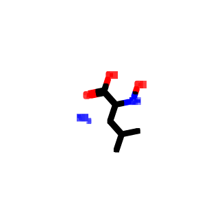 CC(C)CC(NO)C(=O)O.N